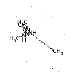 CCCCCCCCCCCCCCCCCCNc1nc(NCCCC)nc(N(CCCC)CCCC)n1